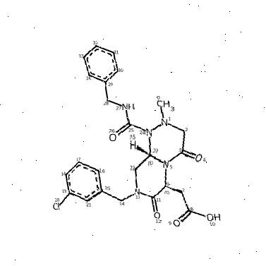 CN1CC(=O)N2[C@@H](CC(=O)O)C(=O)N(Cc3cccc(Cl)c3)C[C@@H]2N1C(=O)NCc1ccccc1